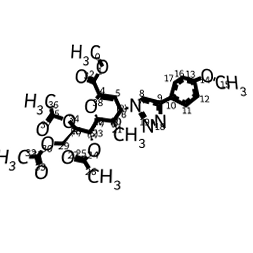 COC(=O)C1=C[C@H](n2cc(-c3ccc(OC)cc3)nn2)[C@@H](C)[C@H]([C@H](OC(C)=O)[C@@H](COC(C)=O)OC(C)=O)O1